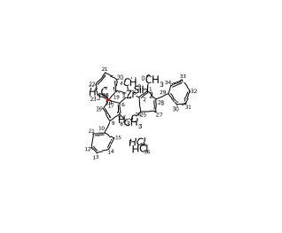 CC1=[C]([Zr]([CH3])(=[SiH2])([C]2=C(C)C(c3ccccc3)=CC2C)[c]2ccccc2)C(C)C=C1c1ccccc1.Cl.Cl